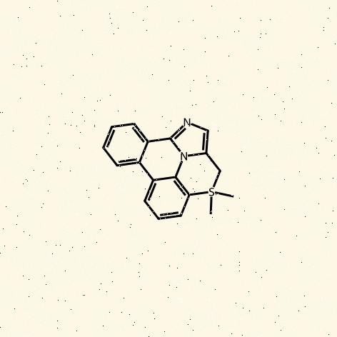 CS1(C)Cc2cnc3c4ccccc4c4cccc1c4n23